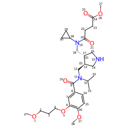 COCCCOc1cc(C(=O)N(C[C@@H]2CNC[C@H]2CN(C(=O)CCC(=O)OC)C2CC2)C(C)C)ccc1OC